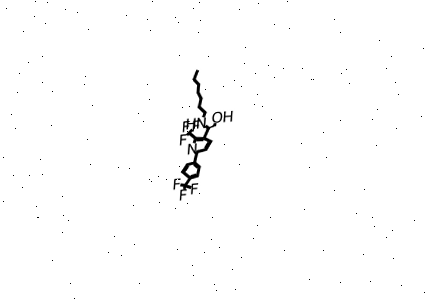 CCCCCCCN[C@@H](CO)c1ccc(-c2ccc(C(F)(F)F)cc2)nc1C(F)(F)F